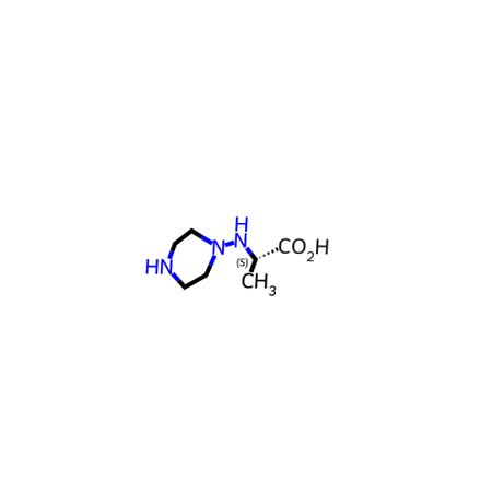 C[C@H](NN1CCNCC1)C(=O)O